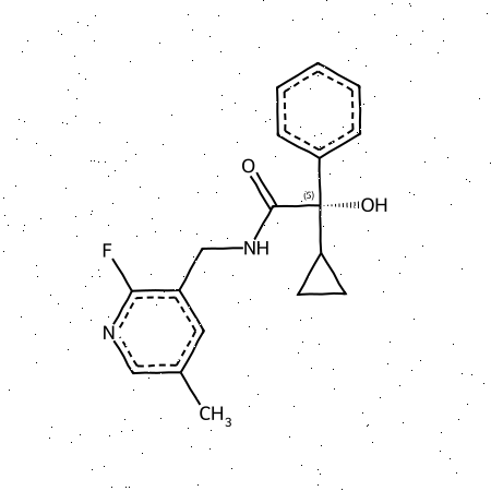 Cc1cnc(F)c(CNC(=O)[C@@](O)(c2ccccc2)C2CC2)c1